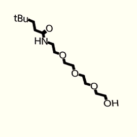 CC(C)(C)CCC(=O)NCCOCCOCCOCCO